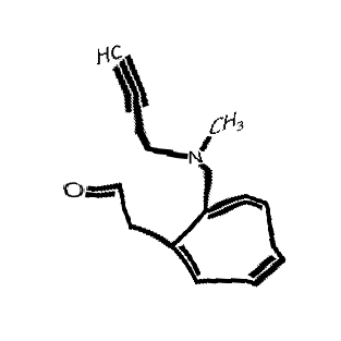 C#CCN(C)c1ccccc1CC=O